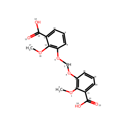 COc1c(OBOc2cccc(C(=O)O)c2OC)cccc1C(=O)O